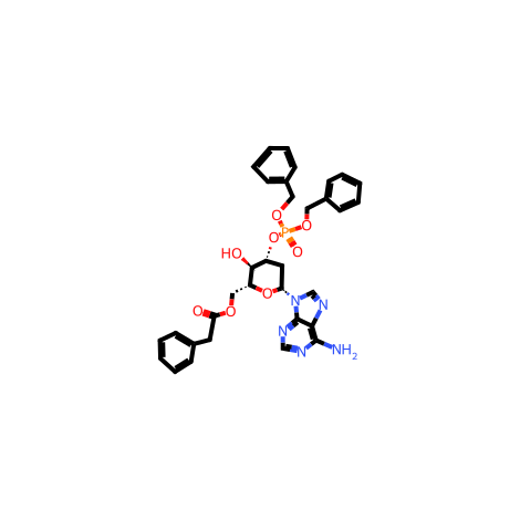 Nc1ncnc2c1ncn2[C@H]1C[C@@H](OP(=O)(OCc2ccccc2)OCc2ccccc2)[C@H](O)[C@@H](COC(=O)Cc2ccccc2)O1